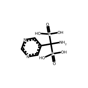 NC(c1cncnc1)(P(=O)(O)O)P(=O)(O)O